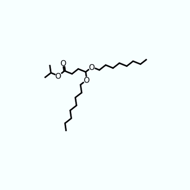 CCCCCCCCOC(CCC(=O)OC(C)C)OCCCCCCCC